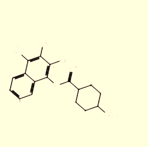 CCCCCC1CCC(C(=O)Oc2c(Cl)c(Cl)c(O)c3ccccc23)CC1